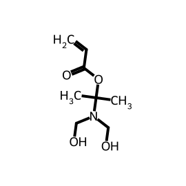 C=CC(=O)OC(C)(C)N(CO)CO